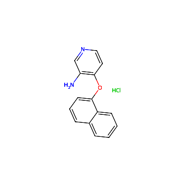 Cl.Nc1cnccc1Oc1cccc2ccccc12